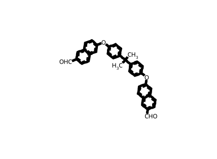 CC(C)(c1ccc(Oc2ccc3cc(C=O)ccc3c2)cc1)c1ccc(Oc2ccc3cc(C=O)ccc3c2)cc1